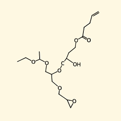 C=CCCC(=O)OCCC(O)COC(COCC1CO1)COC(C)OCC